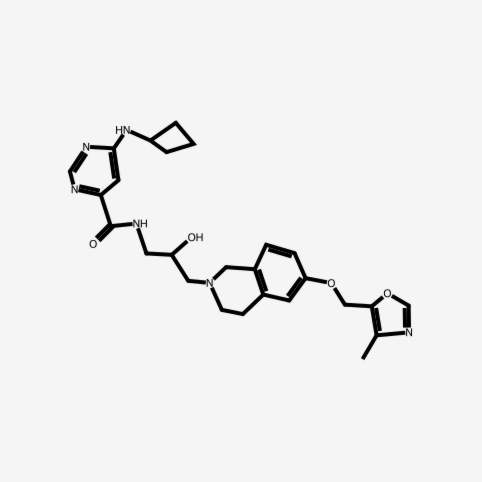 Cc1ncoc1COc1ccc2c(c1)CCN(CC(O)CNC(=O)c1cc(NC3CCC3)ncn1)C2